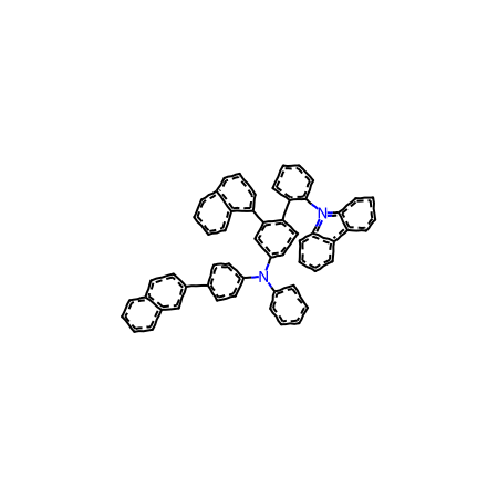 c1ccc(N(c2ccc(-c3ccc4ccccc4c3)cc2)c2ccc(-c3ccccc3-n3c4ccccc4c4ccccc43)c(-c3cccc4ccccc34)c2)cc1